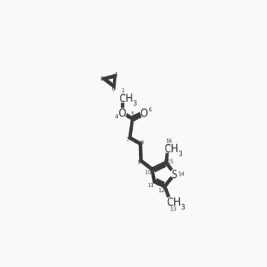 C1CC1.COC(=O)CCCc1cc(C)sc1C